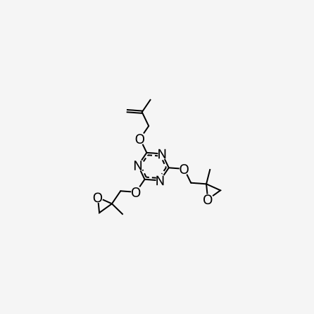 C=C(C)COc1nc(OCC2(C)CO2)nc(OCC2(C)CO2)n1